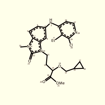 CCc1c(Nc2ccc3c(c2)n(CCC(OCC2CC2)C(=O)OC)c(=O)n3C)ccnc1Cl